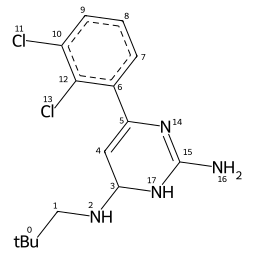 CC(C)(C)CNC1C=C(c2cccc(Cl)c2Cl)N=C(N)N1